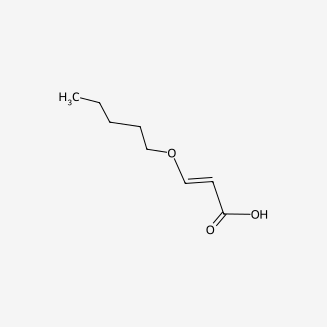 CCCCCOC=CC(=O)O